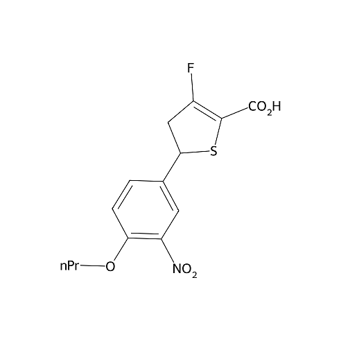 CCCOc1ccc(C2CC(F)=C(C(=O)O)S2)cc1[N+](=O)[O-]